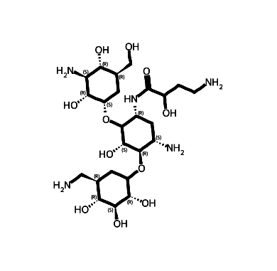 NCCC(O)C(=O)N[C@@H]1C[C@H](N)[C@@H](OC2C[C@H](CN)[C@@H](O)[C@H](O)[C@H]2O)[C@H](O)C1O[C@H]1C[C@H](CO)[C@@H](O)[C@H](N)[C@H]1O